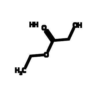 CCOC(=O)CO.[HH]